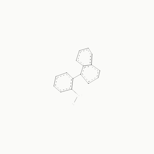 O=NNc1ccccc1-c1cccc2ccccc12